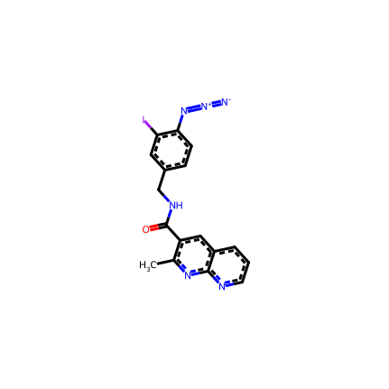 Cc1nc2ncccc2cc1C(=O)NCc1ccc(N=[N+]=[N-])c(I)c1